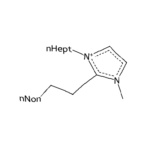 CCCCCCCCCCCc1n(C)cc[n+]1CCCCCCC